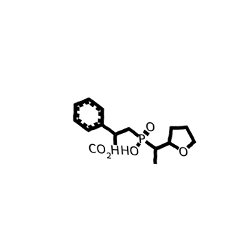 CC(C1CCCO1)P(=O)(O)CC(C(=O)O)c1ccccc1